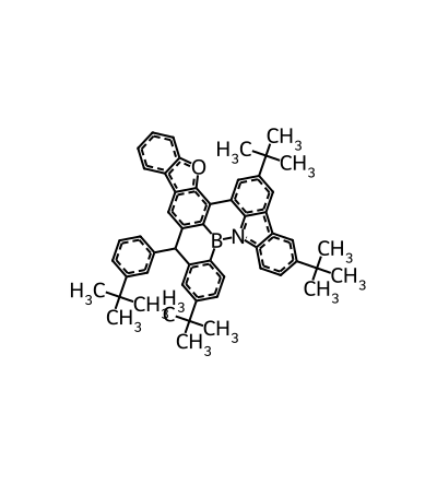 CC(C)(C)c1cccc(C2c3cc(C(C)(C)C)ccc3B3c4c2cc2c(oc5ccccc52)c4-c2cc(C(C)(C)C)cc4c5cc(C(C)(C)C)ccc5n3c24)c1